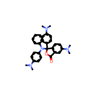 CN(C)c1ccc(N(c2ccccc2)C2(c3ccc(N(C)C)cc3)OC(=O)c3cc(N(C)C)ccc32)cc1